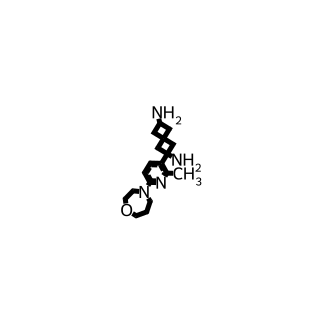 Cc1nc(N2CCCOCC2)ccc1C1(N)CC2(CC(N)C2)C1